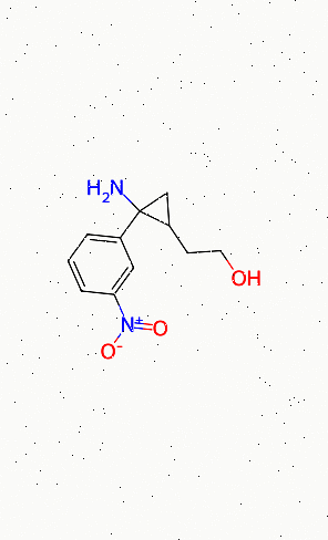 NC1(c2cccc([N+](=O)[O-])c2)CC1CCO